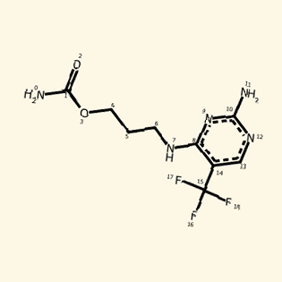 NC(=O)OCCCNc1nc(N)ncc1C(F)(F)F